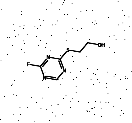 OCCSc1n[c]nc(F)n1